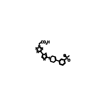 CS(=O)(=O)c1cccc(C2=CCN(c3ncc(-c4nnn(CC(=O)O)n4)s3)CC2)c1